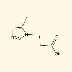 Cc1cncn1CCC(=O)O